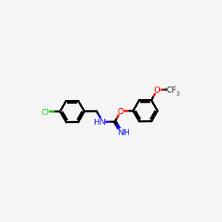 N=C(NCc1ccc(Cl)cc1)Oc1cccc(OC(F)(F)F)c1